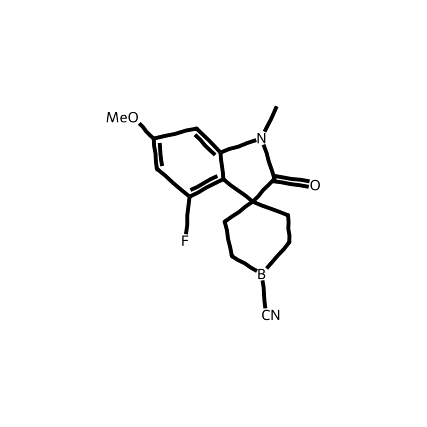 COc1cc(F)c2c(c1)N(C)C(=O)C21CCB(C#N)CC1